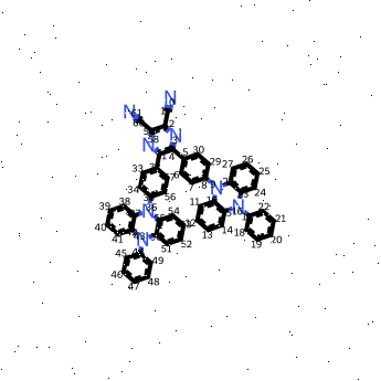 N#Cc1nc(-c2ccc(N3c4ccccc4N(c4ccccc4)c4ccccc43)cc2)c(-c2ccc(N3c4ccccc4N(c4ccccc4)c4ccccc43)cc2)nc1C#N